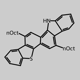 CCCCCCCCc1cc2c(cc(CCCCCCCC)c3c4ccccc4sc23)c2[nH]c3ccccc3c12